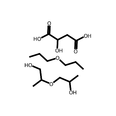 CC(O)COC(C)CO.CCCOCCC.O=C(O)CC(O)C(=O)O